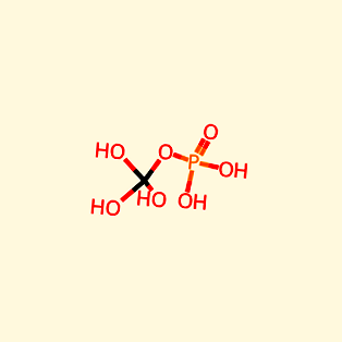 O=P(O)(O)OC(O)(O)O